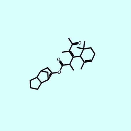 CC(=O)C(C)=C(C(C)C(=O)OC1=C2CC(C1)C1CCCC21)C1C(C)=CCCC1(C)C